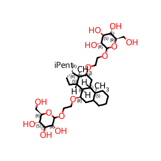 CCC[C@@H](C)[C@H]1CC[C@H]2[C@@H]3[C@H](OCCOC4O[C@H](CO)[C@@H](O)[C@H](O)[C@H]4O)CC4CCCC[C@]4(C)[C@H]3C[C@H](OCCOC3O[C@H](CO)[C@@H](O)[C@H](O)[C@H]3O)[C@]12C